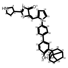 O=C1N=C(C2CCNC2)SC1=Cc1cccn1-c1ccc(-c2ccc(O)c(C34CC5CC(CC(C5)C3)C4)c2)cc1